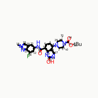 C[C@@H]1CN(c2ccc(C(=O)Nc3cc(F)c4nn(C)cc4c3)c3nc(O)ncc23)C[C@H](C)N1C(=O)OC(C)(C)C